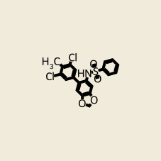 Cc1c(Cl)cc(-c2cc3c(cc2NS(=O)(=O)c2ccccc2)OCO3)cc1Cl